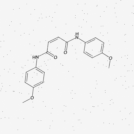 COc1ccc(NC(=O)/C=C\C(=O)Nc2ccc(OC)cc2)cc1